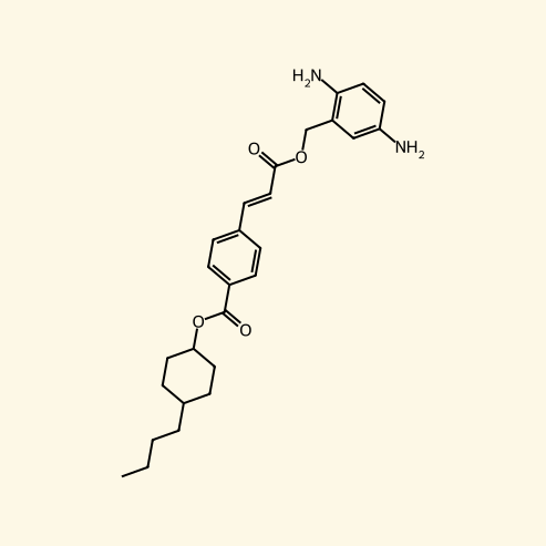 CCCCC1CCC(OC(=O)c2ccc(/C=C/C(=O)OCc3cc(N)ccc3N)cc2)CC1